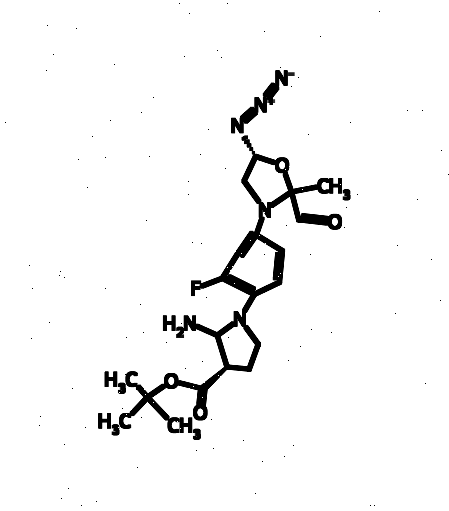 CC(C)(C)OC(=O)[C@@H]1CCN(c2ccc(N3C[C@H](N=[N+]=[N-])OC3(C)C=O)cc2F)C1N